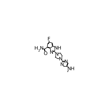 CNc1cnc(N2CCN(c3nc4c(C(N)=O)cc(F)cc4[nH]3)CC2)nc1